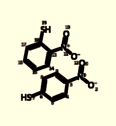 O=[N+]([O-])c1ccc(S)cc1.O=[N+]([O-])c1ccccc1S